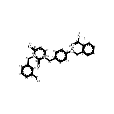 NC(=O)c1ccccc1COc1ccc(Cn2ccc(=O)n(Cc3cccc(F)c3)c2=O)cc1